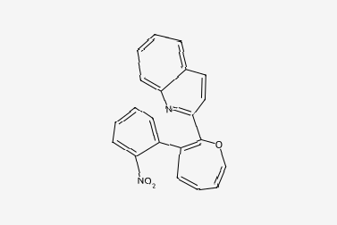 O=[N+]([O-])c1ccccc1C1=C(c2ccc3ccccc3n2)OC=CC=C1